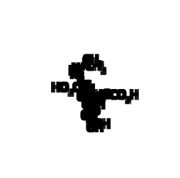 CN(C)CCn1nnnc1SCC1=C(C(=O)O)N2C(=O)[C@@H](NC(=O)C(NC(=O)c3coc4cc(O)c(O)cc4c3=O)c3ccc(OCC(=O)O)cc3)[C@@H]2SC1